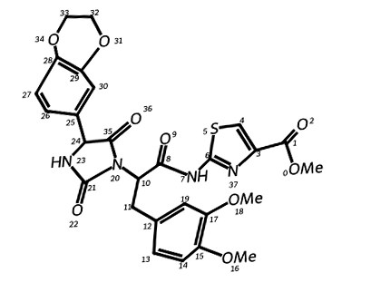 COC(=O)c1csc(NC(=O)C(Cc2ccc(OC)c(OC)c2)N2C(=O)NC(c3ccc4c(c3)OCCO4)C2=O)n1